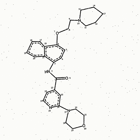 O=C(Nc1ccc(OCCN2CCCCC2)c2ccccc12)c1ccnc(N2CCOCC2)c1